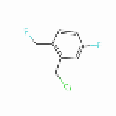 FCc1ccc(F)cc1CCl